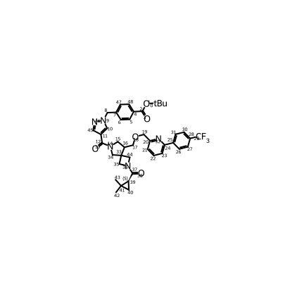 CC(C)(C)OC(=O)c1ccc(Cn2cc(C(=O)N3CC(COCc4cccc(-c5ccc(C(F)(F)F)cc5)n4)C4(C3)CN(C(=O)[C@H]3CC3(C)C)C4)cn2)cc1